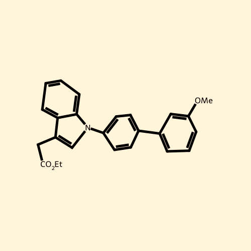 CCOC(=O)Cc1cn(-c2ccc(-c3cccc(OC)c3)cc2)c2ccccc12